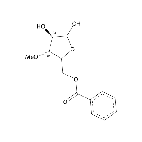 CO[C@H]1C(COC(=O)c2ccccc2)OC(O)[C@@H]1O